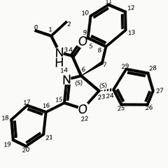 CC(C)NC(=O)[C@@]1(Cc2ccccc2)N=C(c2ccccc2)O[C@H]1c1ccccc1